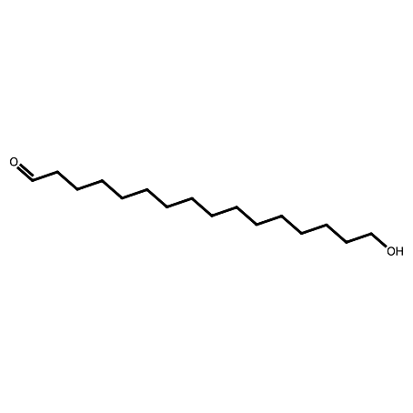 O=CCCCCCCCCCCCCCCCO